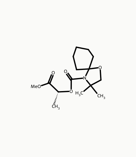 COC(=O)[C@@H](C)OC(=O)N1C(C)(C)COC12CCCCC2